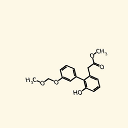 COCOc1cccc(-c2c(O)cccc2CC(=O)OC)c1